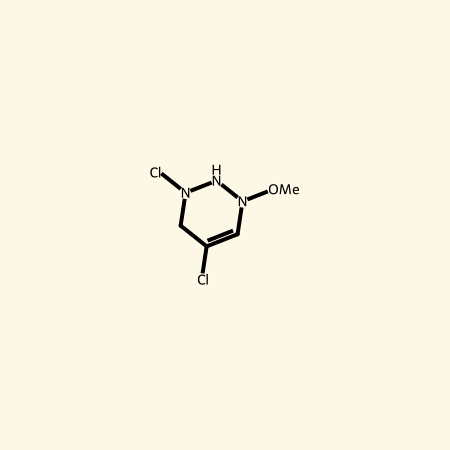 CON1C=C(Cl)CN(Cl)N1